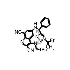 C=C(CC)n1cc([C@@H](Nc2cc(C#N)c3ncc(C#N)c(NCC(C)(C)C)c3c2)c2ccccc2)nn1